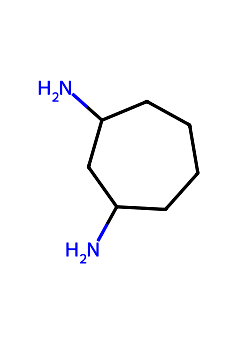 NC1CCCCC(N)C1